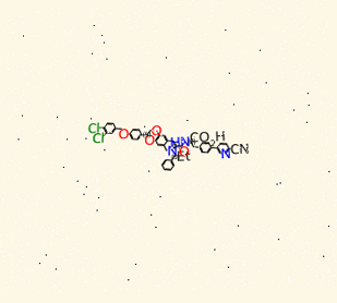 CC[C@@H](c1ccccc1)N1Cc2cc3c(cc2C[C@H]1C(=O)N[C@@H](Cc1ccc(-c2ccc(C#N)nc2)cc1)C(=O)O)OC[C@H](c1ccc(OCc2ccc(Cl)c(Cl)c2)cc1)O3